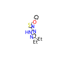 CCC(CC)c1cnc2[nH]c(-c3csc(COc4ccccc4)n3)nc2c1